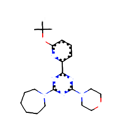 CC(C)(C)Oc1cccc(-c2nc(N3CCCCCC3)nc(N3CCOCC3)n2)n1